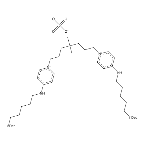 CCCCCCCCCCCCCCCNc1cc[n+](CCCC(C)(C)CCC[n+]2ccc(NCCCCCCCCCCCCCCC)cc2)cc1.O=S(=O)([O-])[O-]